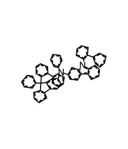 c1ccc(-c2ccccc2-n2c3ccccc3c3ccc(N(c4ccccc4)c4ccc5c(c4)C(c4ccccc4)(c4ccccc4-c4ccccc4)c4ccccc4-5)cc32)cc1